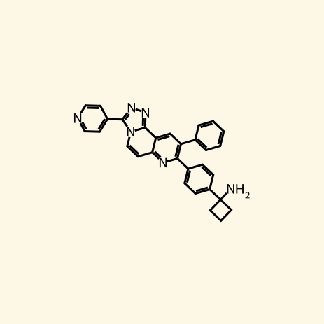 NC1(c2ccc(-c3nc4ccn5c(-c6ccncc6)nnc5c4cc3-c3ccccc3)cc2)CCC1